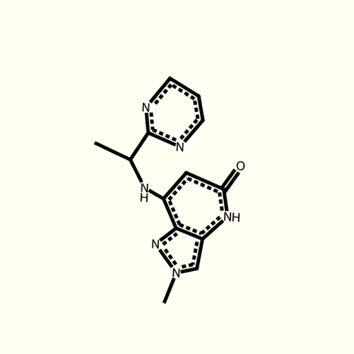 CC(Nc1cc(=O)[nH]c2cn(C)nc12)c1ncccn1